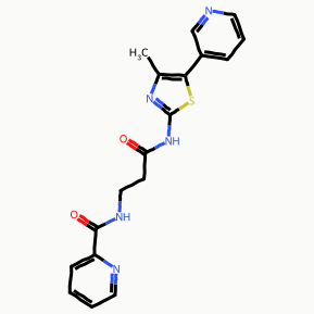 Cc1nc(NC(=O)CCNC(=O)c2ccccn2)sc1-c1cccnc1